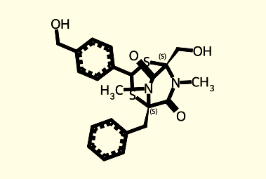 CN1C(=O)[C@]2(Cc3ccccc3)SC(c3ccc(CO)cc3)S[C@@]1(CO)C(=O)N2C